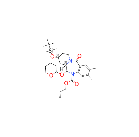 C=CCOC(=O)N1c2cc(C)c(C)cc2C(=O)N2CC[C@@H](O[Si](C)(C)C(C)(C)C)C[C@H]2C1OC1CCCCO1